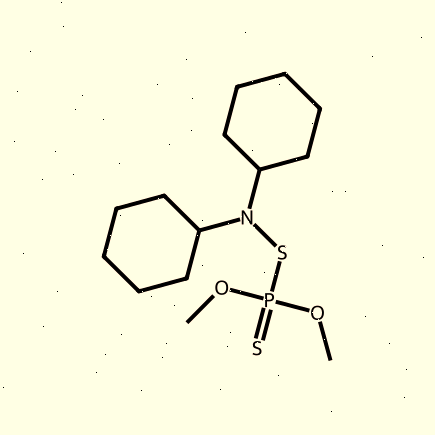 COP(=S)(OC)SN(C1CCCCC1)C1CCCCC1